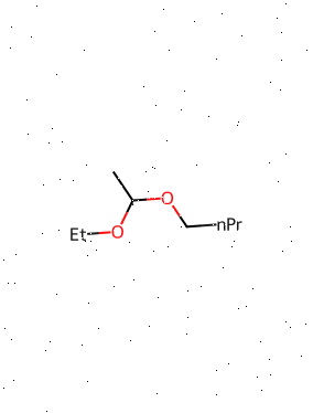 CCCCO[C](C)OCC